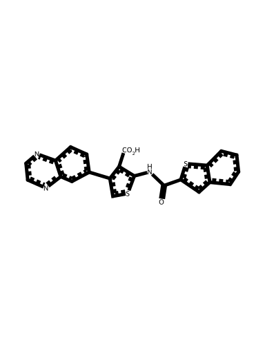 O=C(Nc1scc(-c2ccc3nccnc3c2)c1C(=O)O)c1cc2ccccc2s1